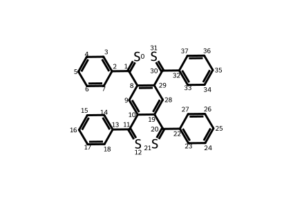 S=C(c1ccccc1)c1cc(C(=S)c2ccccc2)c(C(=S)c2ccccc2)cc1C(=S)c1ccccc1